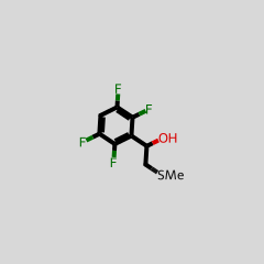 CSCC(O)c1c(F)c(F)cc(F)c1F